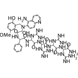 COc1ccc(O)c(CN(c2ccc3ncccc3c2N)C(O)C(=O)NC(C(=O)NC(NC(=N)N)C(=O)NC(NC(=N)N)C(=O)NC(NC(=N)N)C(=O)NC(NC(=N)N)C(N)=O)c2ccccc2)c1